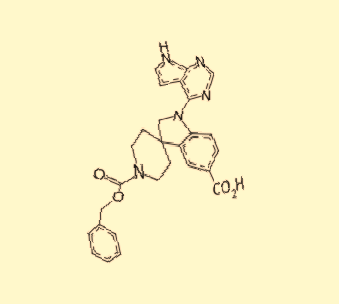 O=C(O)c1ccc2c(c1)C1(CCN(C(=O)OCc3ccccc3)CC1)CN2c1ncnc2[nH]ccc12